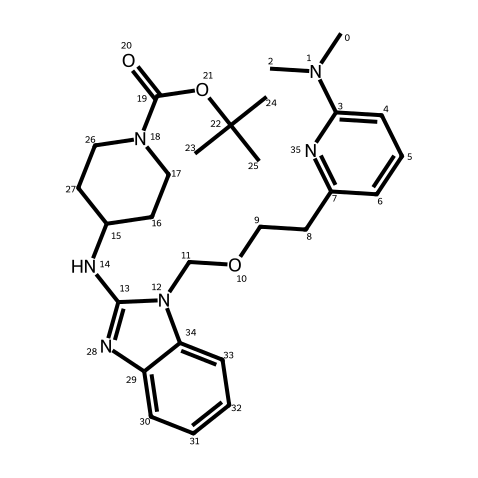 CN(C)c1cccc(CCOCn2c(NC3CCN(C(=O)OC(C)(C)C)CC3)nc3ccccc32)n1